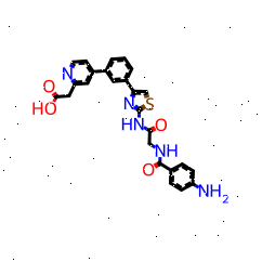 Nc1ccc(C(=O)NCC(=O)Nc2nc(-c3cccc(-c4ccnc(CC(=O)O)c4)c3)cs2)cc1